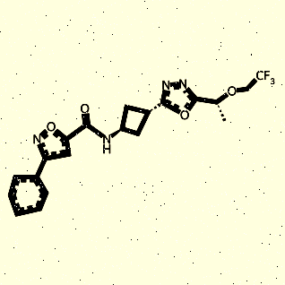 C[C@@H](OCC(F)(F)F)c1nnc([C@H]2C[C@H](NC(=O)c3cc(-c4ccccc4)no3)C2)o1